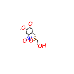 COc1cc(CSCCO)c([N+](=O)[O-])cc1OC